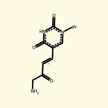 CC(C)n1cc(/C=C/C(=O)CN)c(=O)[nH]c1=O